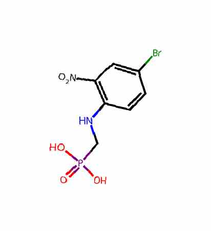 O=[N+]([O-])c1cc(Br)ccc1NCP(=O)(O)O